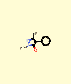 CCCc1[nH]n(CCC)c(=O)c1-c1ccccc1